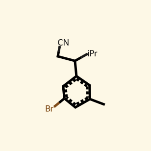 Cc1cc(Br)cc(C(CC#N)C(C)C)c1